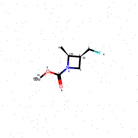 C[C@H]1[C@@H](CF)CN1C(=O)OC(C)(C)C